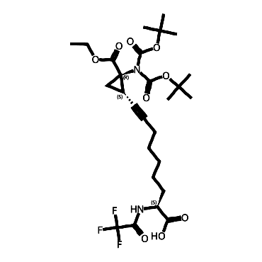 CCOC(=O)[C@@]1(N(C(=O)OC(C)(C)C)C(=O)OC(C)(C)C)C[C@H]1C#CCCCCC[C@H](NC(=O)C(F)(F)F)C(=O)O